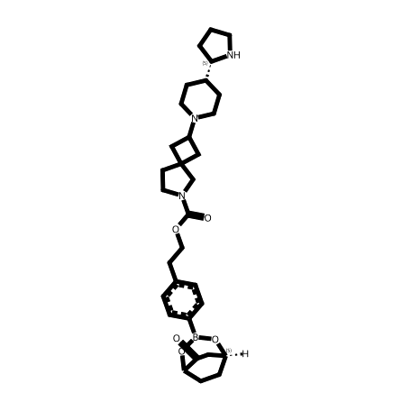 O=C1C[C@@H]2CCC1OB(c1ccc(CCOC(=O)N3CCC4(CC(N5CCC([C@@H]6CCCN6)CC5)C4)C3)cc1)O2